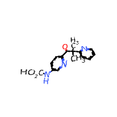 CC(C)(C(=O)c1ccc(NC(=O)O)cn1)c1ccccn1